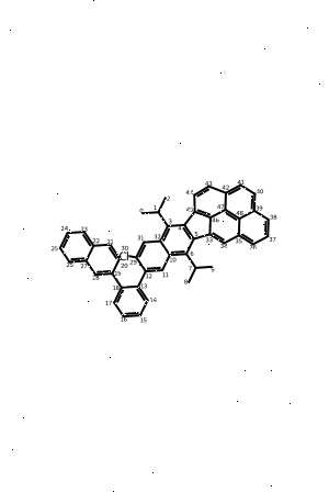 CC(C)c1c2c(c(C(C)C)c3cc(-c4ccccc4-c4ccc5ccccc5c4)c(Cl)cc13)-c1cc3cccc4ccc5ccc-2c1c5c43